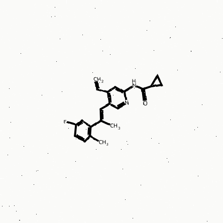 C=Cc1cc(NC(=O)C2CC2)ncc1/C=C(\C)c1cc(F)ccc1C